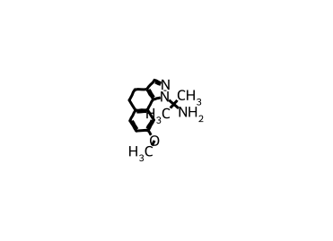 COc1ccc2c(c1)-c1c(cnn1C(C)(C)N)CC2